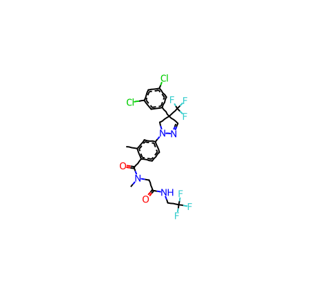 Cc1cc(N2CC(c3cc(Cl)cc(Cl)c3)(C(F)(F)F)C=N2)ccc1C(=O)N(C)CC(=O)NCC(F)(F)F